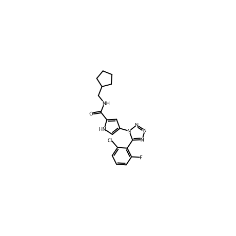 O=C(NCC1CCCC1)c1cc(-n2nnnc2-c2c(F)cccc2Cl)c[nH]1